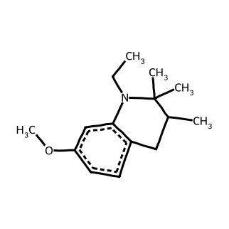 CCN1c2cc(OC)ccc2CC(C)C1(C)C